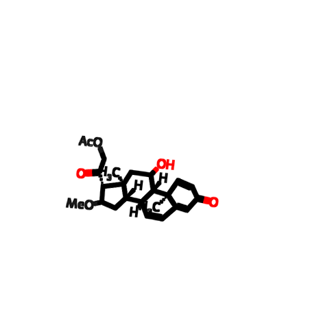 COC1C[C@H]2[C@@H]3C=CC4=CC(=O)C=C[C@]4(C)[C@H]3C(O)C[C@]2(C)[C@H]1C(=O)COC(C)=O